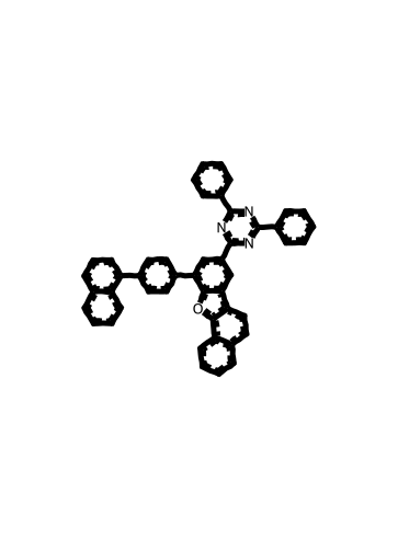 c1ccc(-c2nc(-c3ccccc3)nc(-c3cc(-c4ccc(-c5cccc6ccccc56)cc4)c4oc5c6ccccc6ccc5c4c3)n2)cc1